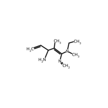 C=CC(N)/C(C)=C(\N=C)N(C)CC